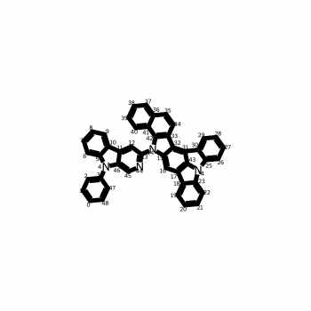 c1ccc(-n2c3ccccc3c3cc(-n4c5cc6c7ccccc7n7c8ccccc8c(c5c5ccc8ccccc8c54)c67)ncc32)cc1